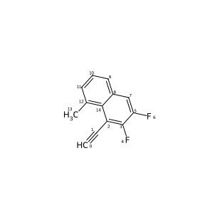 C#Cc1c(F)c(F)cc2cccc(C)c12